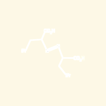 CC(C)CC(N=NC(CC(C)C)C(=O)O)C(=O)O